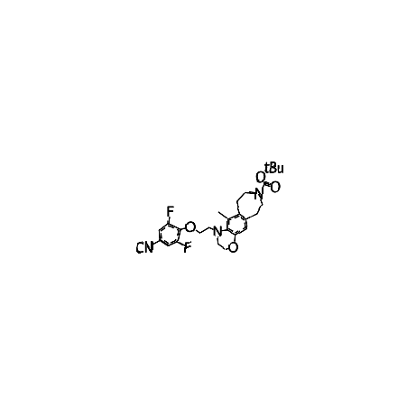 [C-]#[N+]c1cc(F)c(OCCN2CCOc3cc4c(c(C)c32)CCN(C(=O)OC(C)(C)C)CC4)c(F)c1